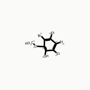 CCc1c(O)c(OC(=O)O)c(Br)c(CC)c1CC